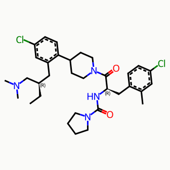 CC[C@H](Cc1cc(Cl)ccc1C1CCN(C(=O)[C@@H](Cc2ccc(Cl)cc2C)NC(=O)N2CCCC2)CC1)CN(C)C